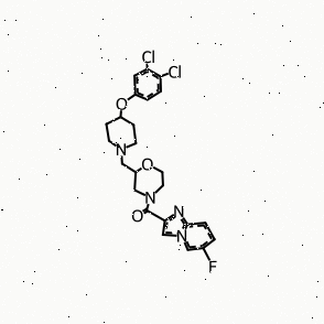 O=C(c1cn2cc(F)ccc2n1)N1CCOC(CN2CCC(Oc3ccc(Cl)c(Cl)c3)CC2)C1